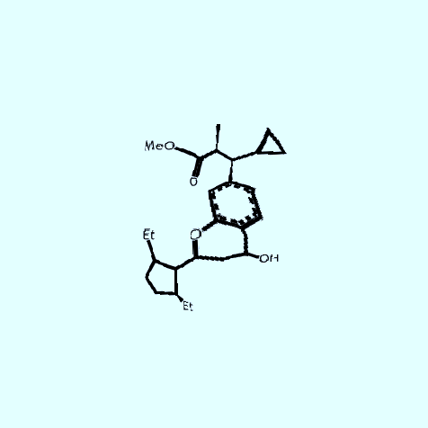 CCC1CC[C@H](CC)C1C1CC(O)c2ccc([C@H](C3CC3)[C@H](C)C(=O)OC)cc2O1